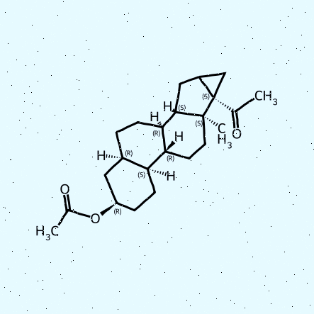 CC(=O)O[C@@H]1CC[C@H]2[C@H](CC[C@@H]3[C@@H]2CC[C@@]2(C)[C@H]3CC3C[C@]32C(C)=O)C1